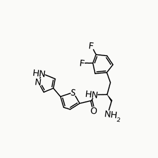 NC[C@H](Cc1ccc(F)c(F)c1)NC(=O)c1ccc(-c2cn[nH]c2)s1